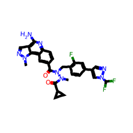 CN(C(=O)C1CC1)N(Cc1ccc(-c2cnn(C(F)F)c2)cc1F)C(=O)c1ccc2nc(N)c3cnn(C)c3c2c1